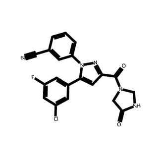 N#Cc1cccc(-n2nc(C(=O)N3CNC(=O)C3)cc2-c2cc(F)cc(Cl)c2)c1